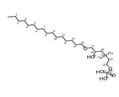 CCCCCCCCCCCCCCCCOCC(O)C[N+](C)(C)CCOP(=O)(O)O